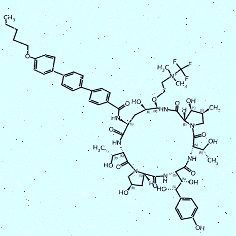 CCCCCOc1ccc(-c2ccc(-c3ccc(C(=O)N[C@H]4C[C@@H](O)[C@@H](OCC[N+](C)(C)C(F)(F)F)NC(=O)[C@@H]5[C@@H](O)[C@@H](C)CN5C(=O)[C@H]([C@@H](C)O)NC(=O)[C@H]([C@H](O)[C@@H](O)c5ccc(O)cc5)NC(=O)[C@@H]5C[C@@H](O)CN5C(=O)[C@H]([C@@H](C)O)NC4=O)cc3)cc2)cc1